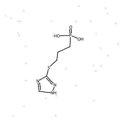 O=P(O)(O)CCCSc1nc[nH]n1